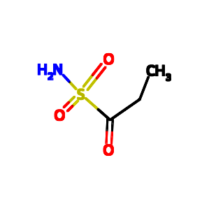 CCC(=O)S(N)(=O)=O